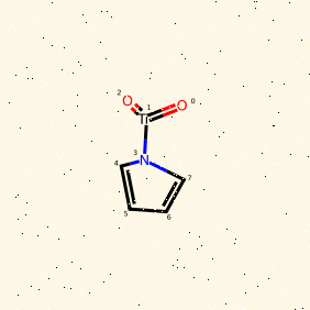 [O]=[Ti](=[O])[n]1cccc1